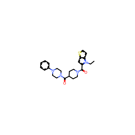 CCn1c(C(=O)N2CCC(C(=O)N3CCN(c4ccccc4)CC3)CC2)cc2sccc21